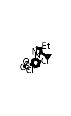 [CH2]Cc1cnn(-c2cc(S(=O)(=O)Cl)ccc2Cl)c1C1CC1